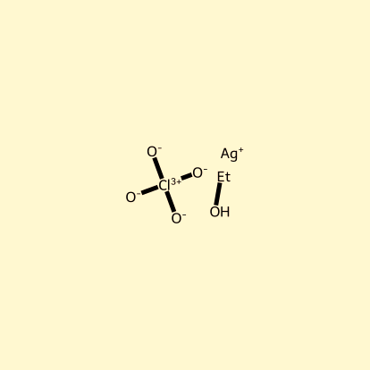 CCO.[Ag+].[O-][Cl+3]([O-])([O-])[O-]